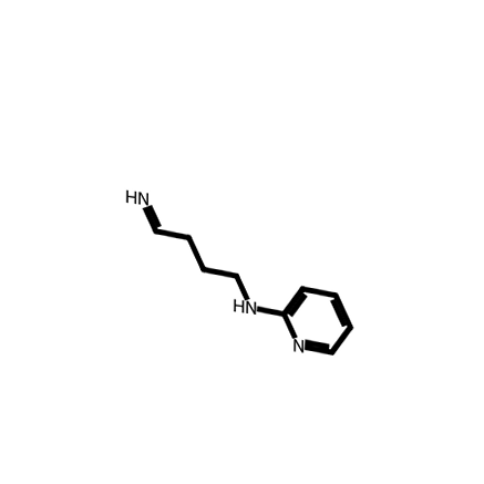 N=CCCCNc1ccccn1